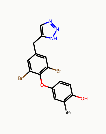 CC(C)c1cc(Oc2c(Br)cc(Cc3cnn[nH]3)cc2Br)ccc1O